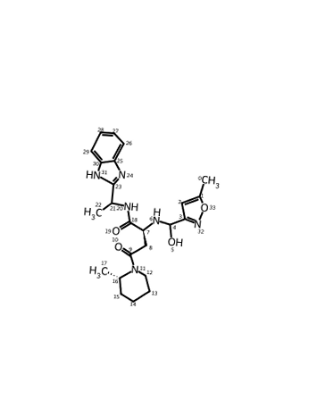 Cc1cc(C(O)N[C@@H](CC(=O)N2CCCC[C@@H]2C)C(=O)NC(C)c2nc3ccccc3[nH]2)no1